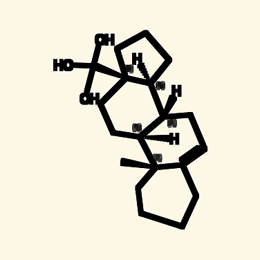 C[C@]12CCCCC1=CC[C@H]1[C@@H]3CCC[C@@]3(C(O)(O)O)CC[C@@H]12